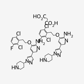 Nc1ncc(-c2cnn(C3CCNCC3)c2)cc1OCCc1c(Cl)ccc(F)c1Cl.Nc1ncc(-c2cnn(C3CCNCC3)c2)cc1OCCc1c(Cl)ccc(F)c1Cl.O=C(O)CC(=O)O